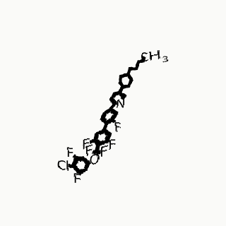 CCCCCC1CCC(c2ccc(-c3ccc(-c4cc(F)c(C(F)(F)Oc5cc(F)c(Cl)c(F)c5)c(F)c4)c(F)c3)nc2)CC1